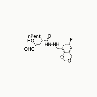 CCCCCC(CN(O)C=O)C(=O)NNCc1cc(F)cc2c1OCOC2